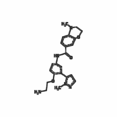 CN1CCOc2cc(C(=O)Nc3ccc(OCCN)c(-c4ccnn4C)c3)ccc21